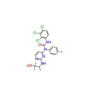 CC(Nc1nccc(N(C(=O)Nc2ccc(Cl)c(Cl)c2Cl)c2ccc(F)cc2)n1)C(C)(C)O